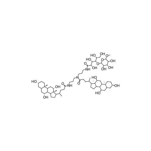 COC1OC(OC(C(O)CO)C(O)C(O)C(=O)NCCCN(CCCNC(=O)CCC(C)C2CCC3C4C(C[C@H](O)[C@]23C)[C@@]2(C)CC[C@@H](O)CC2C[C@H]4O)C(=O)CCC(C)C2CCC3C4C(C[C@H](O)[C@]23C)[C@@]2(C)CC[C@@H](O)CC2C[C@H]4O)[C@H](O)C(O)C1O